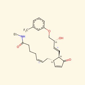 CCNC(=O)CCC/C=C\C[C@H]1C=CC(=O)[C@@H]1/C=C/[C@@H](O)COc1cccc(C(F)(F)F)c1